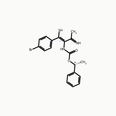 CC(=N)/C(NC(=O)O[C@H](C)c1ccccc1)=C(\S)c1ccc(Br)cc1